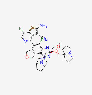 COCCCN1CC2CCC(C1)N2c1nc(OCC23CCCN2CCC3)nc2c(F)c(-c3ncc(F)c4sc(N)c(C#N)c34)c3c(c12)COC3